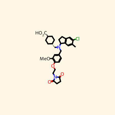 COc1cc(CN(C[C@H]2CC[C@H](C(=O)O)CC2)C2CCc3cc(Cl)c(C)cc32)ccc1OCCN1C(=O)CCC1=O